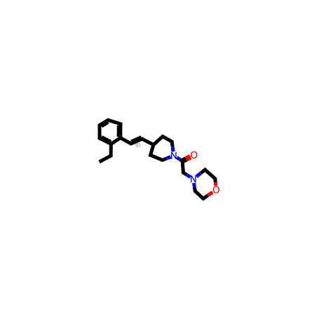 CCc1ccccc1/C=C/C1CCN(C(=O)CN2CCOCC2)CC1